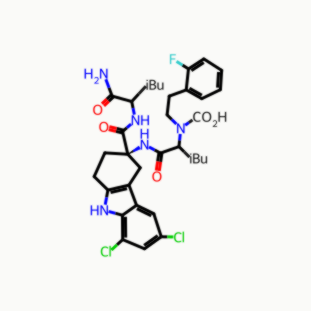 CCC(C)C(NC(=O)[C@@]1(NC(=O)C(C(C)CC)N(CCc2ccccc2F)C(=O)O)CCc2[nH]c3c(Cl)cc(Cl)cc3c2C1)C(N)=O